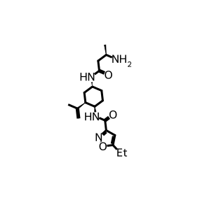 C=C(C)[C@H]1C[C@H](NC(=O)C[C@@H](C)N)CC[C@H]1NC(=O)c1cc(CC)on1